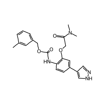 Cc1cccc(COC(=O)Nc2ccc(-c3cn[nH]c3)cc2OCC(=O)N(C)C)c1